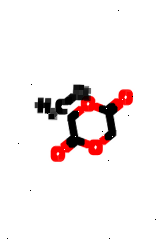 O=C1COC(=O)CO1.[CH2]C[CH2]